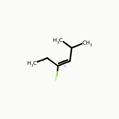 CC/C(F)=C\C(C)C